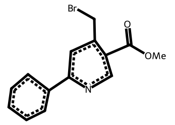 COC(=O)c1cnc(-c2ccccc2)cc1CBr